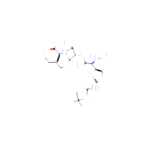 CON=C(C(=O)N[C@@H]1C(=O)N2C(C(=O)O)=C(CCl)CS[C@H]12)c1csc(NC(=O)OC(C)(C)C)n1